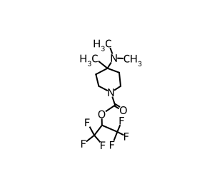 CN(C)C1(C)CCN(C(=O)OC(C(F)(F)F)C(F)(F)F)CC1